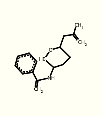 C=C(C)CC1CCC(NC(=C)c2ccccc2)BO1